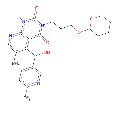 Bc1cnc2c(c1C(O)c1ccc(C(F)(F)F)nc1)c(=O)n(CCCOC1CCCCO1)c(=O)n2C